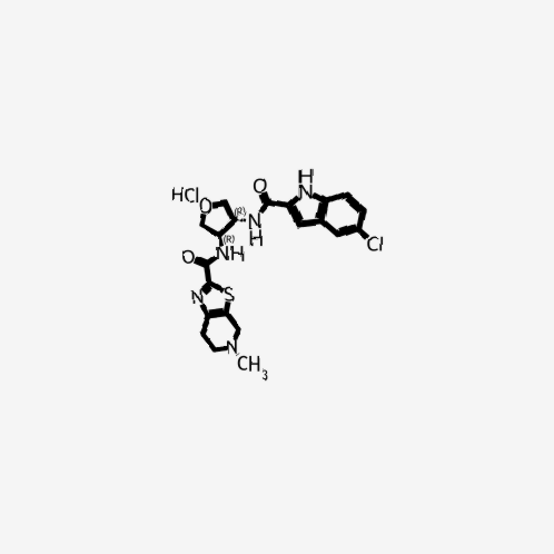 CN1CCc2nc(C(=O)N[C@H]3COC[C@@H]3NC(=O)c3cc4cc(Cl)ccc4[nH]3)sc2C1.Cl